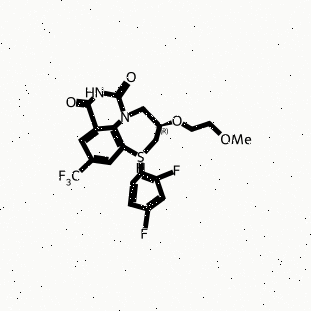 COCCO[C@@H]1Cn2c(=O)[nH]c(=O)c3cc(C(F)(F)F)cc(c32)[SH](c2ccc(F)cc2F)C1